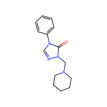 O=c1n(-c2ccccc2)cnn1CN1CCCCC1